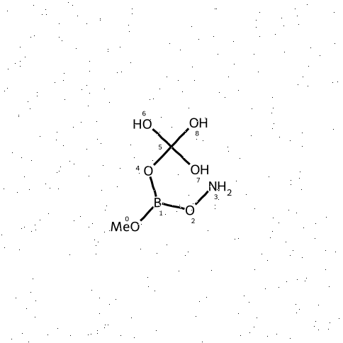 COB(ON)OC(O)(O)O